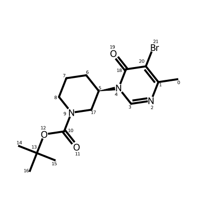 Cc1ncn([C@@H]2CCCN(C(=O)OC(C)(C)C)C2)c(=O)c1Br